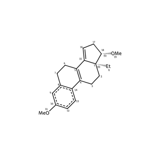 CC[C@]12CCC3=C(CCc4cc(OC)ccc43)C1=CC[C@@H]2OC